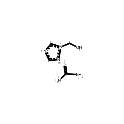 NC(N)=S.OCn1cncn1